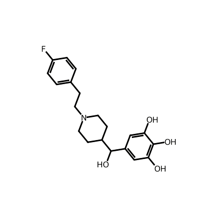 Oc1cc(C(O)C2CCN(CCc3ccc(F)cc3)CC2)cc(O)c1O